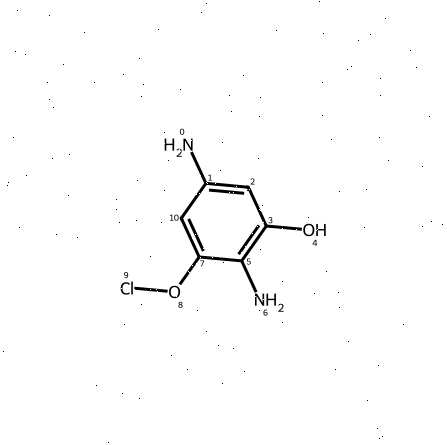 Nc1cc(O)c(N)c(OCl)c1